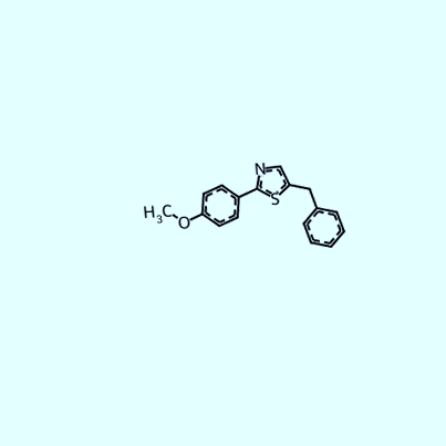 COc1ccc(-c2ncc(Cc3ccccc3)s2)cc1